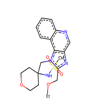 CCOCc1nc2cnc3ccccc3c2n1CC1(NS(C)(=O)=O)CCOCC1